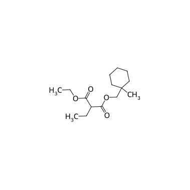 CCOC(=O)C(CC)C(=O)OCC1(C)CCCCC1